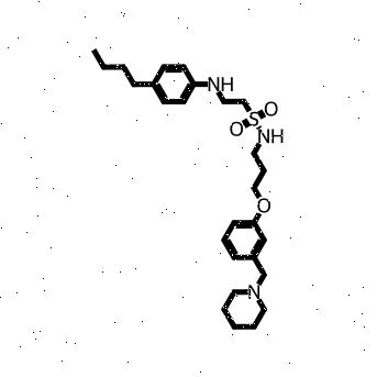 CCCCc1ccc(NCCS(=O)(=O)NCCCOc2cccc(CN3CCCCC3)c2)cc1